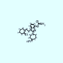 CCCN1CCCN(c2nc3c(OC(N)=O)cccc3n2CCN2CCCCC2CC)CC1